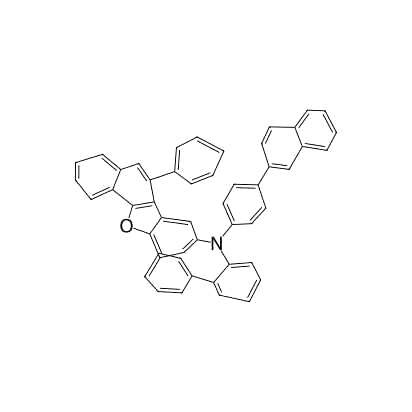 c1ccc(-c2ccccc2N(c2ccc(-c3ccc4ccccc4c3)cc2)c2ccc3oc4c5ccccc5cc(-c5ccccc5)c4c3c2)cc1